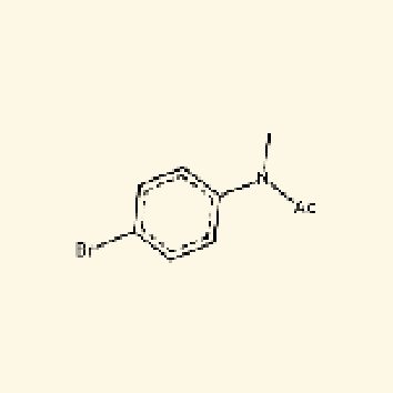 CC(=O)N(C)c1ccc(Br)cc1